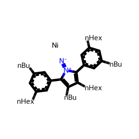 CCCCCCC1=C(c2cc(CCCC)cc(CCCCCC)c2)[N+](=[N-])C(c2cc(CCCC)cc(CCCCCC)c2)=C1CCCC.[Ni]